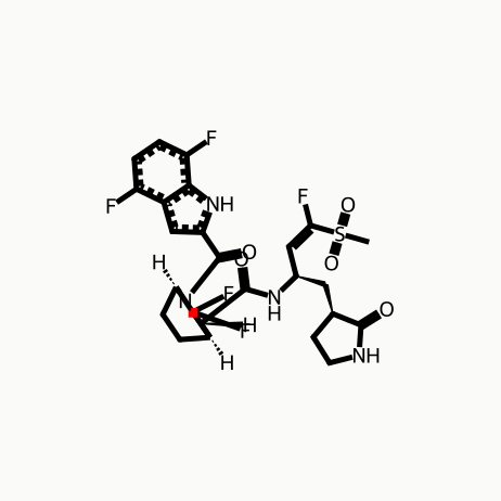 CS(=O)(=O)/C(F)=C\[C@@H](C[C@@H]1CCNC1=O)NC(=O)[C@@H]1[C@H]2CC[C@H](CC2(F)F)N1C(=O)c1cc2c(F)ccc(F)c2[nH]1